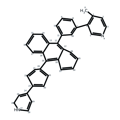 Cc1ccncc1-c1cccc(-c2c3ccccc3c(-c3ccc(C4=CCNC=C4)cc3)c3ccccc23)c1